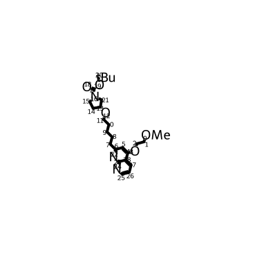 COCCOc1cc(CCCCCO[C@@H]2CCN(C(=O)OC(C)(C)C)C2)nc2ncccc12